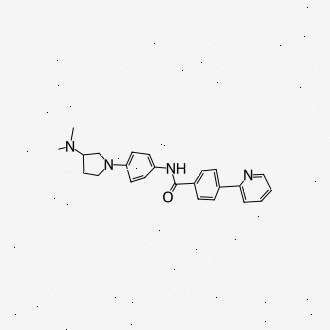 CN(C)C1CCN(c2ccc(NC(=O)c3ccc(-c4ccccn4)cc3)cc2)C1